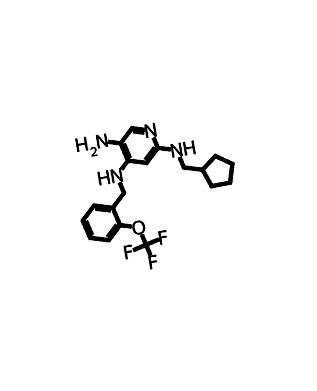 Nc1cnc(NCC2CCCC2)cc1NCc1ccccc1OC(F)(F)F